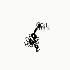 CC(=O)NCC#Cc1cc(F)c(C(=O)N2CC(=O)N(O)C2c2cc(Br)cs2)c(F)c1